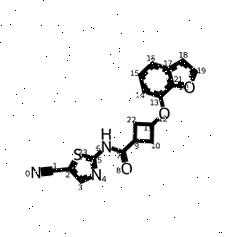 N#Cc1cnc(NC(=O)C2CC(Oc3cccc4ccoc34)C2)s1